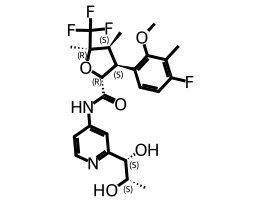 COc1c([C@H]2[C@H](C(=O)Nc3ccnc([C@H](O)[C@H](C)O)c3)O[C@@](C)(C(F)(F)F)[C@H]2C)ccc(F)c1C